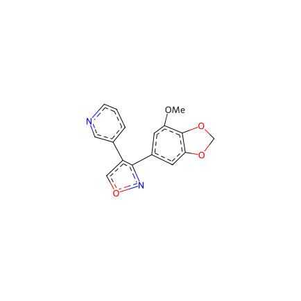 COc1cc(-c2nocc2-c2cccnc2)cc2c1OCO2